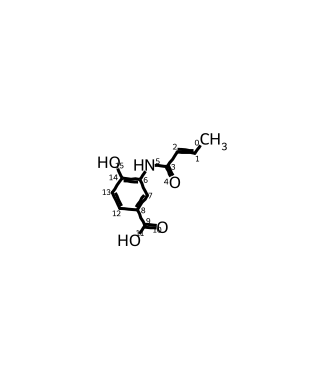 CC=CC(=O)Nc1cc(C(=O)O)ccc1O